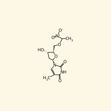 Cc1cn([C@H]2C[C@H](O)[C@@H](COC(C)[N+](=O)[O-])O2)c(=O)[nH]c1=O